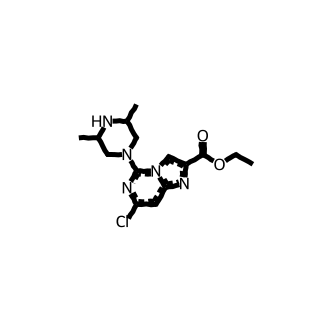 CCOC(=O)c1cn2c(N3CC(C)NC(C)C3)nc(Cl)cc2n1